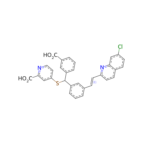 O=C(O)c1cccc(C(Sc2ccnc(C(=O)O)c2)c2cccc(/C=C/c3ccc4ccc(Cl)cc4n3)c2)c1